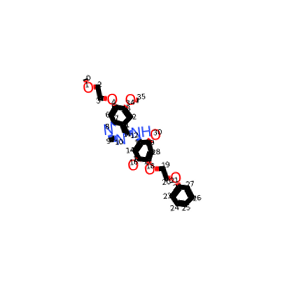 COCCOc1cc2ncnc(NC3=CC(=O)C(OCCOc4ccccc4)=CC3=O)c2cc1OC